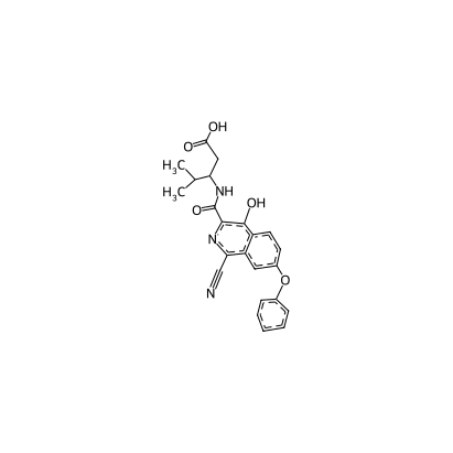 CC(C)C(CC(=O)O)NC(=O)c1nc(C#N)c2cc(Oc3ccccc3)ccc2c1O